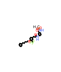 CS(=O)(=O)NC(=O)c1cccc(NC(=O)CCc2ccc(OCCCCCc3ccccc3)c(C(F)(F)F)c2)c1